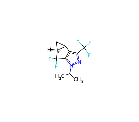 CC(C)n1nc(C(F)(F)F)c2c1C(F)(F)[C@@H]1CC21